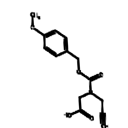 C#CCN(CC(=O)O)C(=O)OCc1ccc(OC)cc1